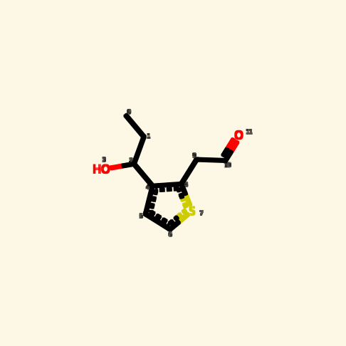 CCC(O)c1ccsc1CC=O